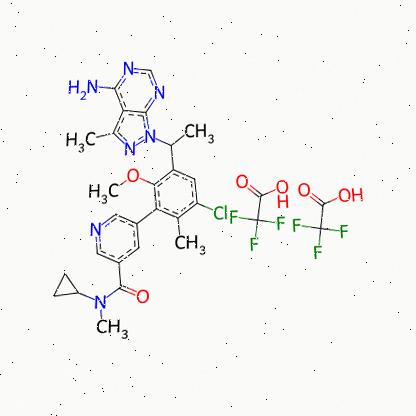 COc1c(C(C)n2nc(C)c3c(N)ncnc32)cc(Cl)c(C)c1-c1cncc(C(=O)N(C)C2CC2)c1.O=C(O)C(F)(F)F.O=C(O)C(F)(F)F